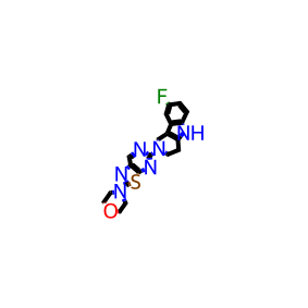 Fc1ccc2[nH]c3c(c2c1)CN(c1ncc2nc(N4CCOCC4)sc2n1)CC3